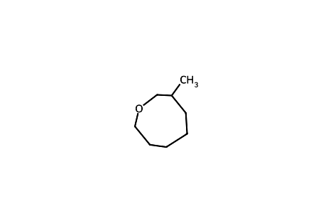 CC1CCCCCOC1